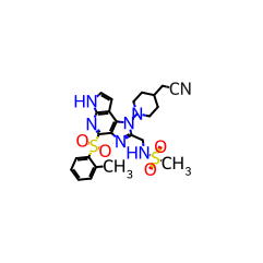 Cc1ccccc1S(=O)(=O)c1nc2[nH]ccc2c2c1nc(CNS(C)(=O)=O)n2N1CCC(CC#N)CC1